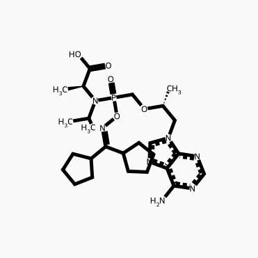 CC(C)N([C@@H](C)C(=O)O)P(=O)(CO[C@H](C)Cn1cnc2c(N)ncnc21)ON=C(C1CCCC1)C1CCCC1